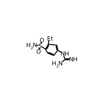 CCc1cc(NC(=N)N)ccc1S(N)(=O)=O